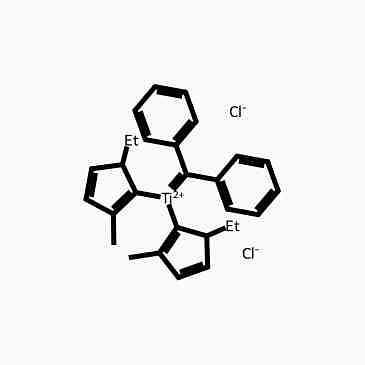 CCC1C=CC(C)=[C]1[Ti+2]([C]1=C(C)C=CC1CC)=[C](c1ccccc1)c1ccccc1.[Cl-].[Cl-]